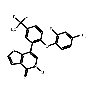 Cc1ccc(Oc2ccc(C(C)(C)F)cc2-c2cn(C)c(=O)c3ccsc23)c(F)c1